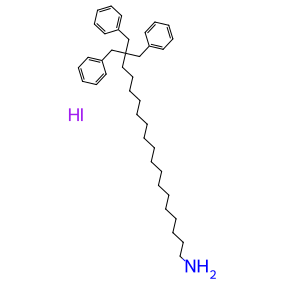 I.NCCCCCCCCCCCCCCCCCC(Cc1ccccc1)(Cc1ccccc1)Cc1ccccc1